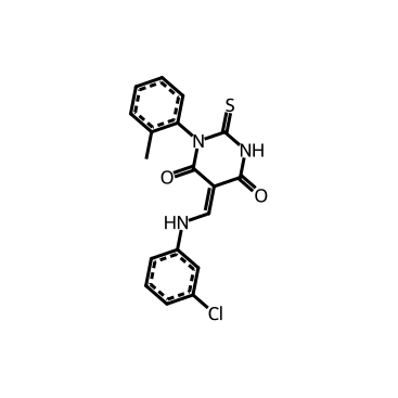 Cc1ccccc1N1C(=O)/C(=C\Nc2cccc(Cl)c2)C(=O)NC1=S